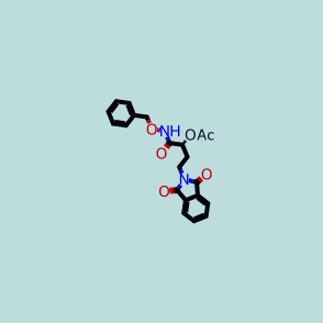 CC(=O)O[C@@H](CCN1C(=O)c2ccccc2C1=O)C(=O)NOCc1ccccc1